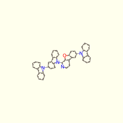 c1ccc2c(c1)c1ccccc1n2-c1ccc2oc3c(-n4c5ccccc5c5cc(-n6c7ccccc7c7ccccc76)ccc54)nccc3c2c1